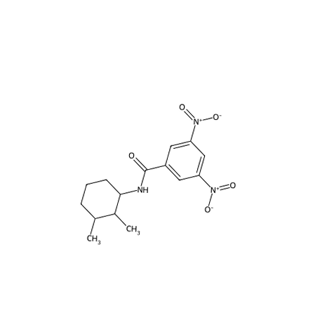 CC1CCCC(NC(=O)c2cc([N+](=O)[O-])cc([N+](=O)[O-])c2)C1C